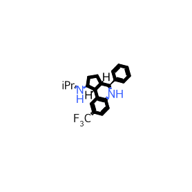 CC(C)N[C@H]1CC[C@@H]2[C@H]1c1cc(C(F)(F)F)ccc1N[C@@H]2c1ccccc1